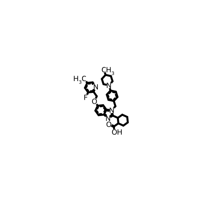 Cc1cnc(COc2ccc3nc(C4CCCCC4C(=O)O)n(Cc4ccc(N5CCC(C)CC5)cc4)c3c2)c(F)c1